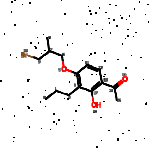 CCCc1c(OCC(C)CBr)ccc(C(C)=O)c1O